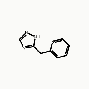 c1ccc(Cc2ncn[nH]2)nc1